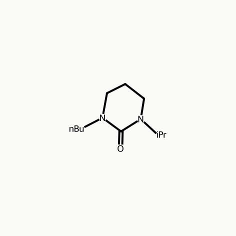 CCCCN1CCCN(C(C)C)C1=O